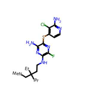 CCC(CCNc1nc(N)c(Sc2ccnc(N)c2Cl)nc1F)(CNC)C(C)C